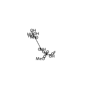 COc1ccc([C@@H]2[C@@H](CC[C@H](O)c3ccc(F)cc3)C(=O)N2c2ccc(CNC(=O)CCCCCCCCCCC(=O)NCC(O)C(O)C(O)CCO)cc2)cc1